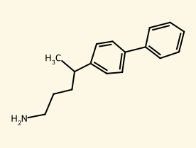 CC(CCCN)c1ccc(-c2ccccc2)cc1